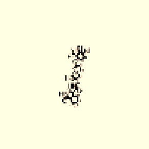 NC(=O)c1c(OC2CCN(C[C@H](O)CNC(=O)c3c[nH]c(=O)c4ccccc34)CC2)ccc(Cl)c1Cl